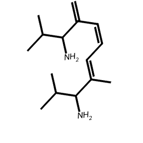 C=C(/C=C\C=C(/C)C(N)C(C)C)C(N)C(C)C